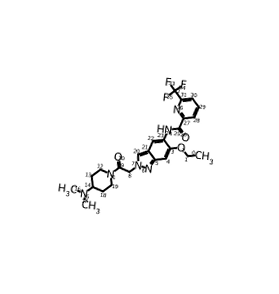 CCOc1cc2nn(CC(=O)N3CCC(N(C)C)CC3)cc2cc1NC(=O)c1cccc(C(F)(F)F)n1